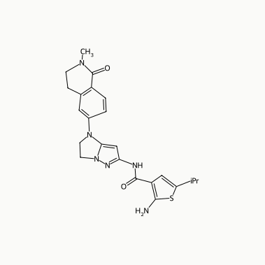 CC(C)c1cc(C(=O)Nc2cc3n(n2)CCN3c2ccc3c(c2)CCN(C)C3=O)c(N)s1